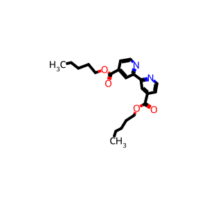 CCCCCOC(=O)c1ccnc(-c2cc(C(=O)OCCCCC)ccn2)c1